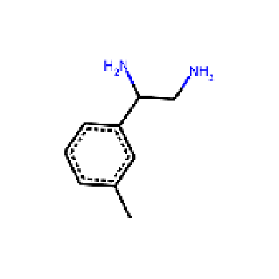 Cc1cccc(C(N)CN)c1